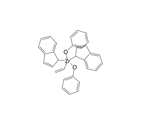 C=[CH][Zr]([O]c1ccccc1)([O]c1ccccc1)([CH]1C=Cc2ccccc21)[CH]1C=Cc2ccccc21